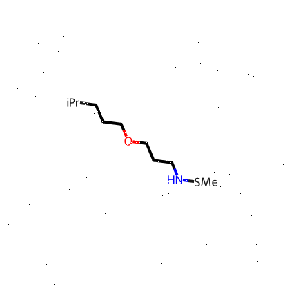 CSNCCCOCCCC(C)C